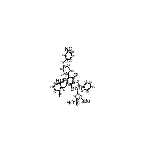 CCC(C)OP(=O)(O)CCN[C@@H](Cn1c(=O)c(N2CCN(Cc3cccc([N+](=O)[O-])c3)CC2)c(C)n(Cc2c(F)cccc2C(F)(F)F)c1=O)c1ccccc1